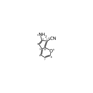 N#Cc1c(N)cc2cccoc1-2